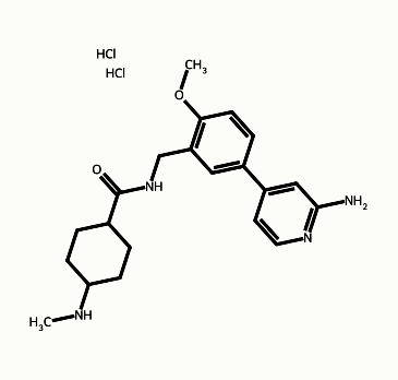 CNC1CCC(C(=O)NCc2cc(-c3ccnc(N)c3)ccc2OC)CC1.Cl.Cl